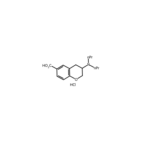 CCCN(CCC)C1COc2ccc(C(=O)O)cc2C1.Cl